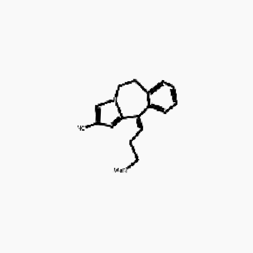 CNCCC=C1c2ccccc2CCn2cc(C#N)cc21